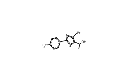 CC(C)c1nc(-c2ccc(C(F)(F)F)cc2)sc1C(C)O